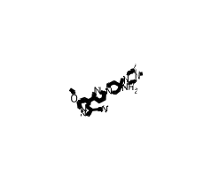 CCOc1cc(-c2ccc(N3CCC(N)(CN4CCN(C)[C@@H](C)C4)CC3)nc2)c2c(C#N)cnn2c1